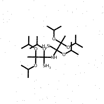 CC(C)OC([SiH3])(NC([SiH3])(OC(C)C)C(C)(OC(C)C)OC(C)C)C(C)(OC(C)C)OC(C)C